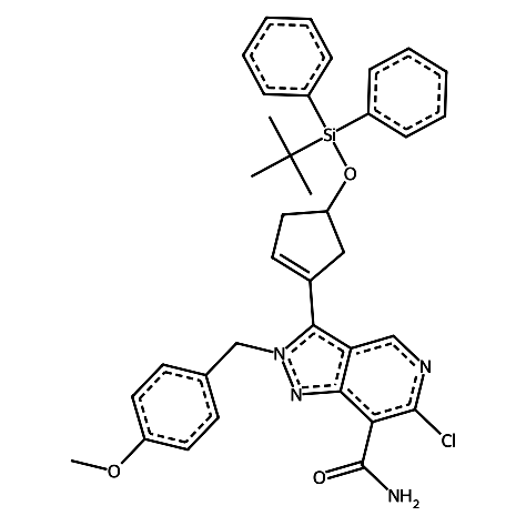 COc1ccc(Cn2nc3c(C(N)=O)c(Cl)ncc3c2C2=CCC(O[Si](c3ccccc3)(c3ccccc3)C(C)(C)C)C2)cc1